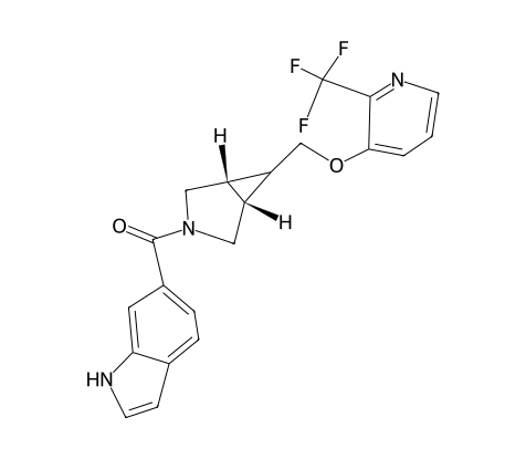 O=C(c1ccc2cc[nH]c2c1)N1C[C@@H]2C(COc3cccnc3C(F)(F)F)[C@@H]2C1